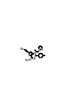 COC(=O)c1sc(C#CC(C)(C)C)cc1N(C(=O)C1CCC(C)CC1)C(C)Cn1cccn1